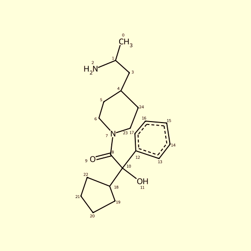 CC(N)CC1CCN(C(=O)C(O)(c2ccccc2)C2CCCC2)CC1